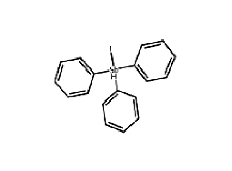 [I][SbH]([c]1ccccc1)([c]1ccccc1)[c]1ccccc1